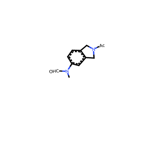 CC(=O)N1Cc2ccc(N(C)C=O)cc2C1